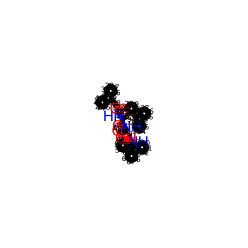 O=C(C[C@H](NC(=O)C(CSC(c1ccccc1)(c1ccccc1)c1ccccc1)NC(=O)OCC1c2ccccc2-c2ccccc21)C(=O)O)NC(c1ccccc1)(c1ccccc1)c1ccccc1